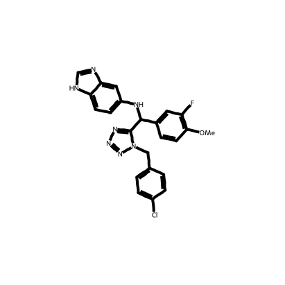 COc1ccc(C(Nc2ccc3[nH]cnc3c2)c2nnnn2Cc2ccc(Cl)cc2)cc1F